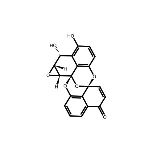 O=C1C=C[C@]23Oc4ccc(O)c5c4[C@](Oc4cccc1c42)(O3)[C@@H]1O[C@@H]1[C@@H]5O